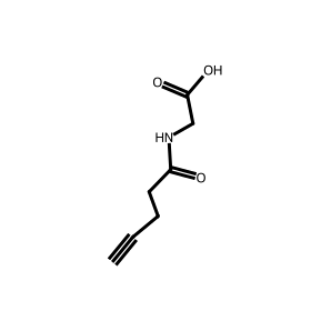 C#CCCC(=O)NCC(=O)O